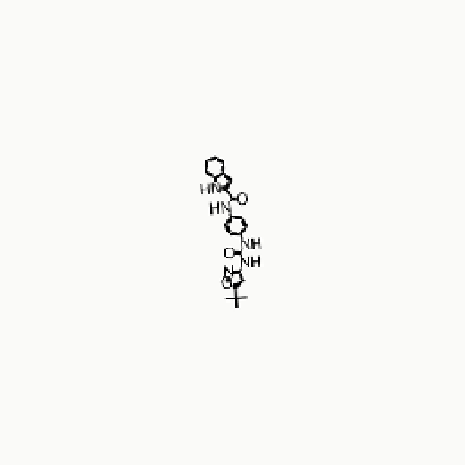 CC(C)(C)c1cc(NC(=O)Nc2ccc(NC(=O)c3cc4ccccc4[nH]3)cc2)no1